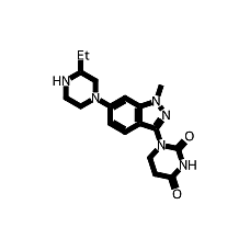 CCC1CN(c2ccc3c(N4CCC(=O)NC4=O)nn(C)c3c2)CCN1